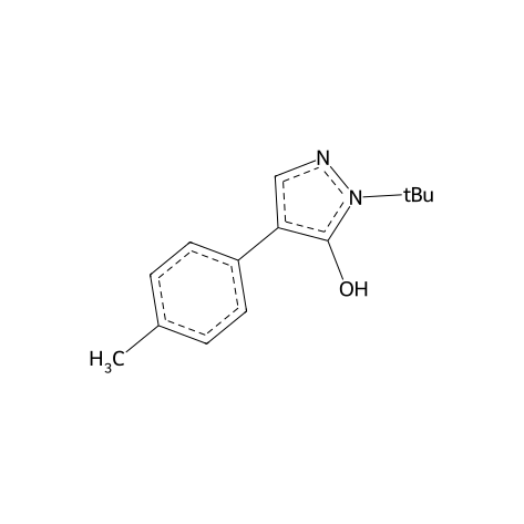 Cc1ccc(-c2cnn(C(C)(C)C)c2O)cc1